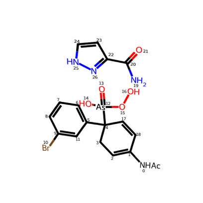 CC(=O)NC1=CCC(c2cccc(Br)c2)([As](=O)(O)OO)C=C1.NC(=O)c1cc[nH]n1